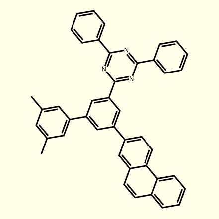 Cc1cc(C)cc(-c2cc(-c3ccc4c(ccc5ccccc54)c3)cc(-c3nc(-c4ccccc4)nc(-c4ccccc4)n3)c2)c1